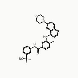 Cc1ccc(C(=O)Nc2cccc(C(C)(C)C#N)c2)cc1Nc1ncnc2ccc(N3CCOCC3)nc12